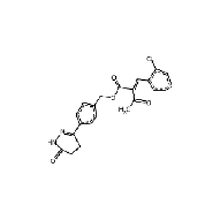 CC(=O)C(=Cc1ccccc1Cl)C(=O)OCc1ccc(C2=NNC(=O)CC2)cc1